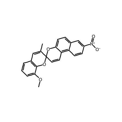 COc1cccc2c1OC1(C=Cc3c(ccc4cc([N+](=O)[O-])ccc34)O1)C(C)=C2